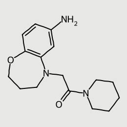 Nc1ccc2c(c1)N(CC(=O)N1CCCCC1)CCCO2